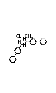 C=N/C(=N\C(=N/CCl)c1ccc(-c2ccccc2)cc1)c1ccc(C2=CC=CCC2)cc1